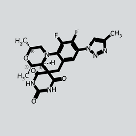 Cc1cn(-c2cc3c(c(F)c2F)N2C[C@@H](C)O[C@@H](C)[C@@H]2C2(C3)C(=O)NC(=O)NC2=O)nn1